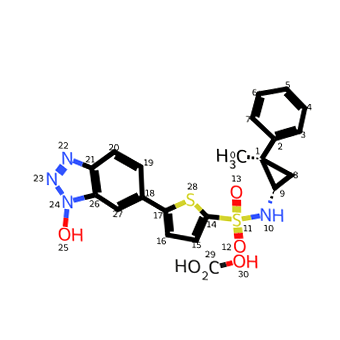 C[C@]1(c2ccccc2)C[C@@H]1NS(=O)(=O)c1ccc(-c2ccc3nnn(O)c3c2)s1.O=C(O)O